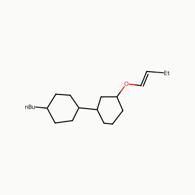 CC/C=C/OC1CCCC(C2CCC(CCCC)CC2)C1